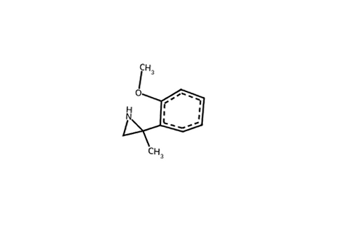 COc1ccccc1C1(C)CN1